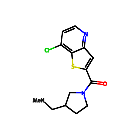 CNCC1CCN(C(=O)c2cc3nccc(Cl)c3s2)C1